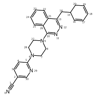 N#Cc1ccc(N2CCN(c3nnc(CC4C=CC=CC4)c4ccccc34)CC2)nc1